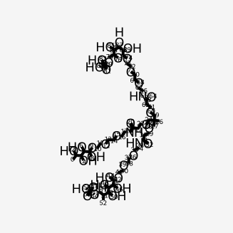 CC(O)C(O)C(O)C(O)OCCOCCOCCNC(=O)CCOCC(C)(COCCC(=O)NCCOCCOCCOC(O)C(O)C(O)C(O)C(C)COP(=O)(O)O)COCCC(=O)NCCOCCOCCOC1OC(COP(=O)(O)O)C(O)C(O)C1O